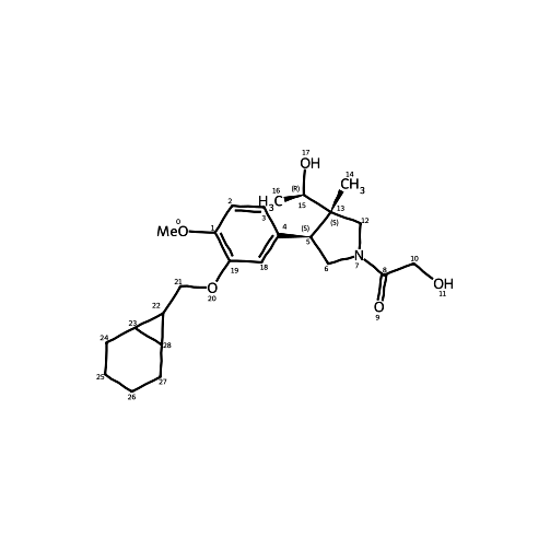 COc1ccc([C@@H]2CN(C(=O)CO)C[C@@]2(C)[C@@H](C)O)cc1OCC1C2CCCCC21